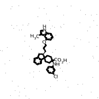 Cc1c[nH]c2cccc(OCCC[C@@H]3Cc4ccccc4C34CCC(Nc3cccc(Cl)c3)(C(=O)O)CC4)c12